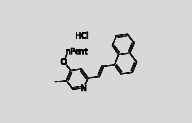 CCCCCOc1cc(C=Cc2cccc3ccccc23)ncc1C.Cl